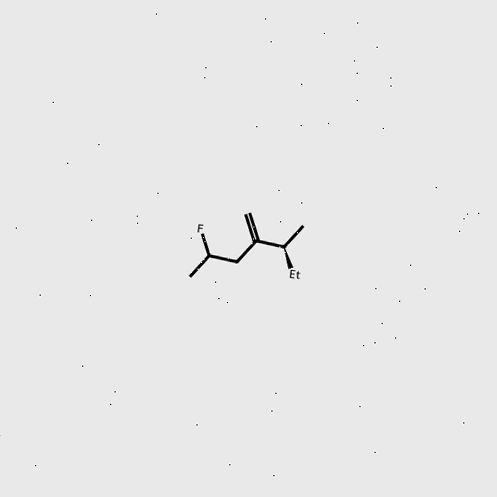 C=C(CC(C)F)[C@@H](C)CC